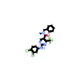 CN(Cc1ccccc1)C(=O)c1cnc(Nc2ccc(Cl)c(Cl)c2)nc1C(F)(F)F